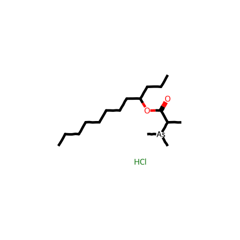 CCCCCCCCC(CCC)OC(=O)C(C)[As](C)C.Cl